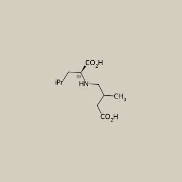 CC(C)C[C@H](NCC(C)CC(=O)O)C(=O)O